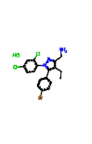 CCc1c(CN)nn(-c2ccc(Cl)cc2Cl)c1-c1ccc(Br)cc1.Cl